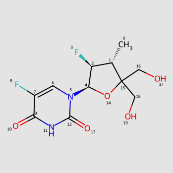 C[C@H]1[C@H](F)[C@H](n2cc(F)c(=O)[nH]c2=O)OC1(CO)CO